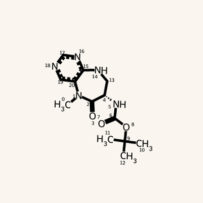 CN1C(=O)[C@@H](NC(=O)OC(C)(C)C)CNc2ncncc21